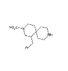 CC(C)CC1CN(C(=O)O)CCC12CCNCC2